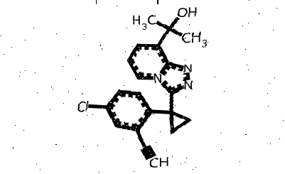 C#Cc1cc(Cl)ccc1C1(c2nnc3c(C(C)(C)O)cccn23)CC1